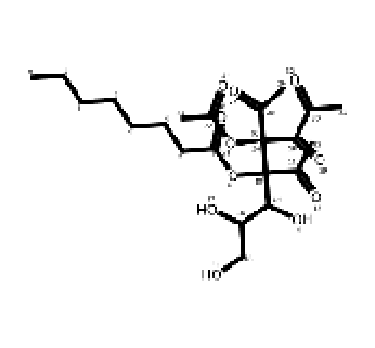 CCCCCCCC(=O)OC(C(C)=O)(C(O)C(O)CO)[C@](OC(C)=O)(C(C)=O)C(=O)C(C)=O